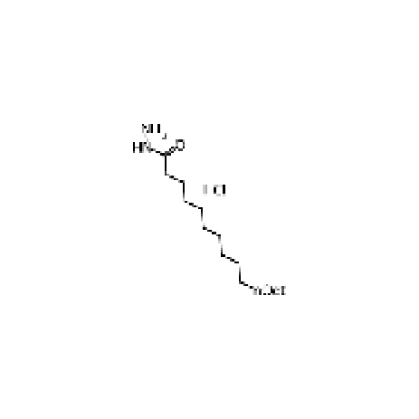 CCCCCCCCCCCCCCCCCC(=O)NN.Cl